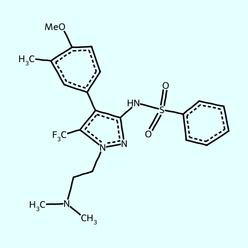 COc1ccc(-c2c(NS(=O)(=O)c3ccccc3)nn(CCN(C)C)c2C(F)(F)F)cc1C